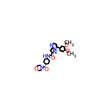 COc1ccc(-c2ccnc3cc(C(=O)N[C@H]4CC[C@@H](C(=O)N5CCOCC5)CC4)nn23)cc1OC